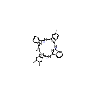 Cc1ccc2c(c1)C1N=C2/N=C2N=C(/N=C3\NC(c4cc(C)c(C)cc43)N(C)C3=N/C(=N\1)c1ccccc13)c1ccccc1\2